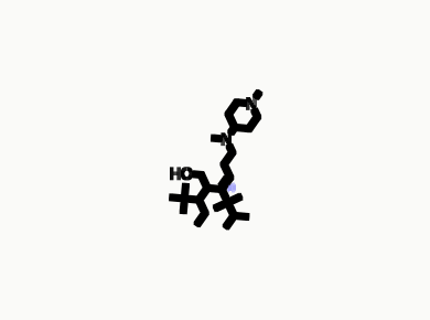 CCC(C(CO)/C(=C\CCN(C)C1CCN(C)CC1)C(C)(C)C(C)C)C(C)(C)C